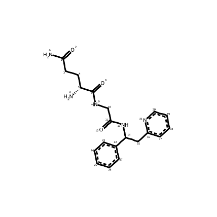 NC(=O)CC[C@@H](N)C(=O)NCC(=O)NC(Cc1ccccn1)c1ccccc1